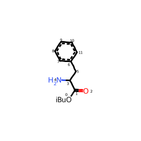 CC(C)COC(=O)C(N)Cc1ccccc1